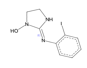 ON1CCN/C1=N\c1ccccc1I